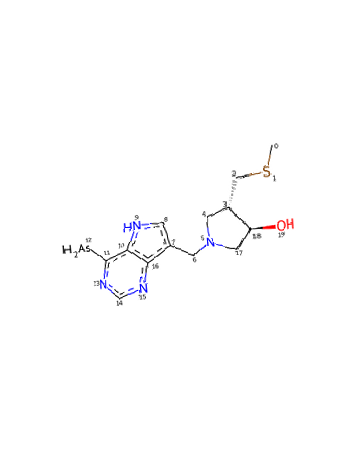 CSC[C@H]1CN(Cc2c[nH]c3c([AsH2])ncnc23)C[C@@H]1O